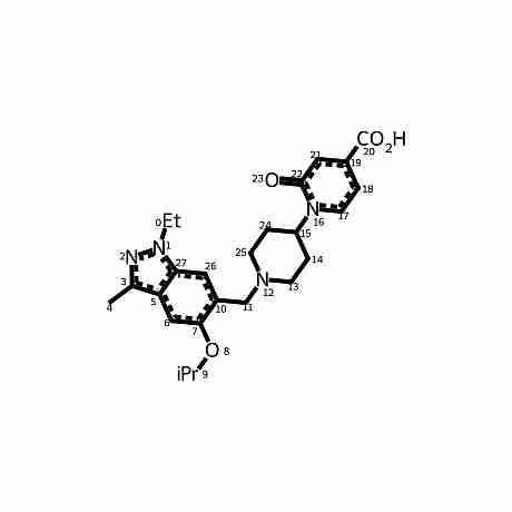 CCn1nc(C)c2cc(OC(C)C)c(CN3CCC(n4ccc(C(=O)O)cc4=O)CC3)cc21